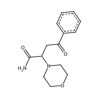 NC(=O)C(CC(=O)c1ccccc1)N1CCOCC1